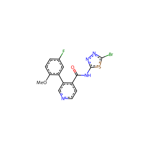 COc1ccc(F)cc1-c1cnccc1C(=O)Nc1nnc(Br)s1